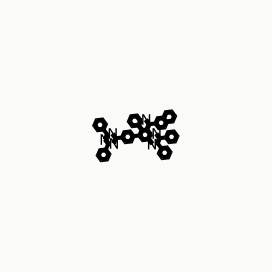 c1ccc(-c2nc(-c3ccccc3)nc(-c3ccc(-c4cc5nc(-c6ccccc6)c(-c6ccccc6)nc5c5c(-c6ccc7ccccc7c6)nc6ccccc6c45)cc3)n2)cc1